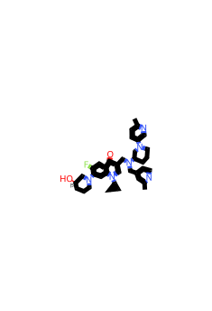 Cc1ccc(N2CCCC(N(Cc3ccnc(C)c3)Cc3cn(C4CC4)c4cc(N5CCC[C@H](O)C5)c(F)cc4c3=O)C2)cn1